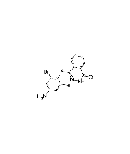 Nc1cc(Br)c(Sc2n[nH]c(=O)c3ccccc23)c(Br)c1